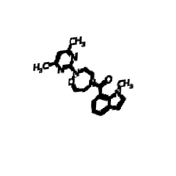 Cc1cc(C)nc(N2CCN(C(=O)c3cccc4ccn(C)c34)CCO2)n1